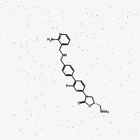 CC(=O)NC[C@H]1CN(c2ccc(-c3ccc(CNCc4cccnc4N)cc3)c(F)c2)C(=O)O1